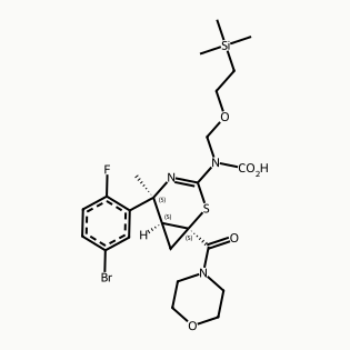 C[C@]1(c2cc(Br)ccc2F)N=C(N(COCC[Si](C)(C)C)C(=O)O)S[C@@]2(C(=O)N3CCOCC3)C[C@H]21